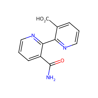 NC(=O)c1cccnc1-c1ncccc1C(=O)O